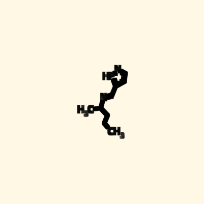 CCCC(C)/N=C/c1ccn[pH]1